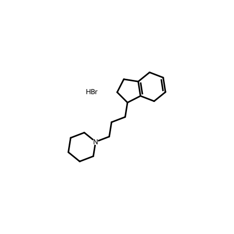 Br.C1=CCC2=C(C1)CCC2CCCN1CCCCC1